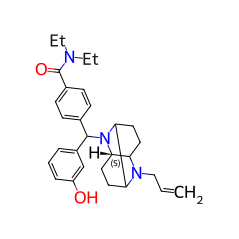 C=CCN1C2CC[C@H]3C1CCC2N3C(c1ccc(C(=O)N(CC)CC)cc1)c1cccc(O)c1